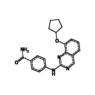 NC(=O)c1ccc(Nc2ncc3cccc(OC4CCCC4)c3n2)cc1